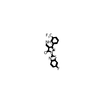 N/C=C1/C(=O)N(c2nc3ccc(F)cc3s2)N=C1c1cccc(C(F)(F)F)c1